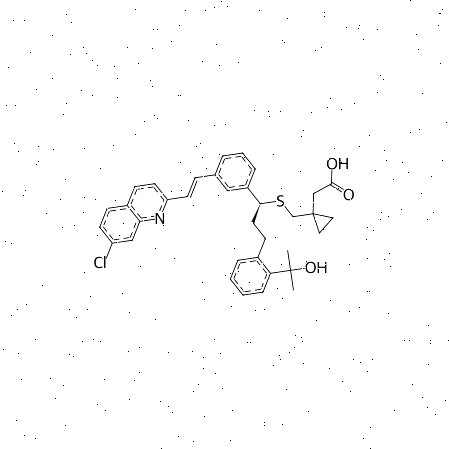 CC(C)(O)c1ccccc1CC[C@H](SCC1(CC(=O)O)CC1)c1cccc(/C=C/c2ccc3ccc(Cl)cc3n2)c1